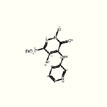 CCOC(=O)c1nn(CC)c(=O)c(Nc2cccnc2)c1C(C)=O